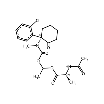 CC(=O)N[C@@H](C)C(=O)OC(C)OC(=O)N(C)[C@]1(c2ccccc2Cl)CCCCC1=O